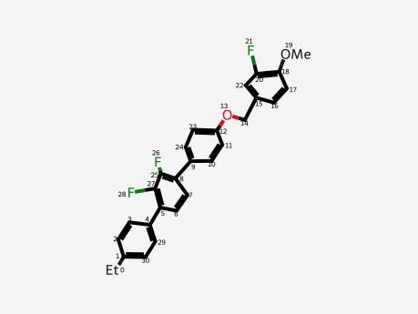 CCc1ccc(-c2ccc(-c3ccc(OCc4ccc(OC)c(F)c4)cc3)c(F)c2F)cc1